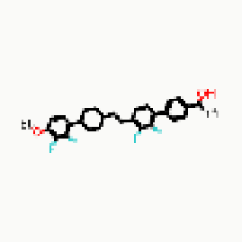 CCCC(O)c1ccc(-c2ccc(CCC3CCC(c4ccc(OCC)c(F)c4F)CC3)c(F)c2F)cc1